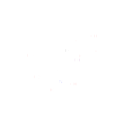 CP.O=S(=O)(O)O.Oc1cccc(N(O)O)c1O